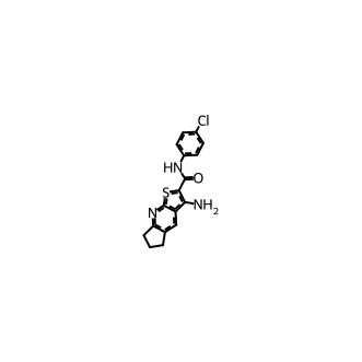 Nc1c(C(=O)Nc2ccc(Cl)cc2)sc2nc3c(cc12)CCC3